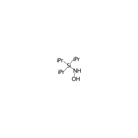 CC(C)[Si](NO)(C(C)C)C(C)C